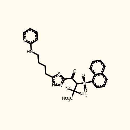 NC(N)(C(=O)O)C(C(=O)c1nnc(CCCCNc2ccccn2)s1)S(=O)(=O)c1cccc2ccccc12